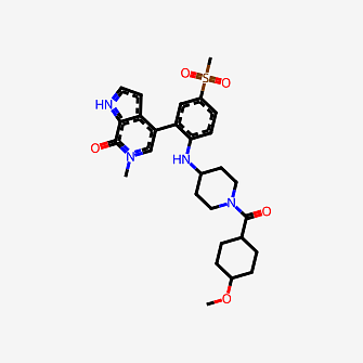 COC1CCC(C(=O)N2CCC(Nc3ccc(S(C)(=O)=O)cc3-c3cn(C)c(=O)c4[nH]ccc34)CC2)CC1